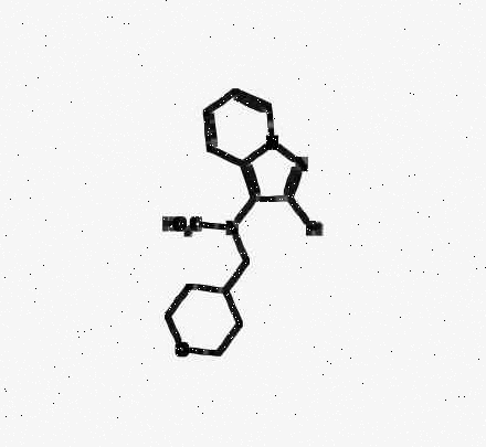 CCc1nn2ccccc2c1N(CC1CCOCC1)C(=O)O